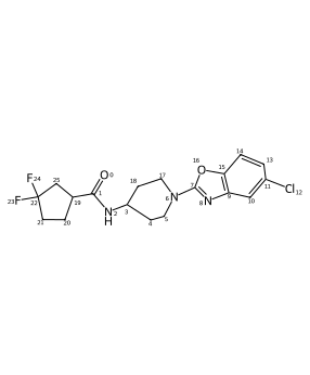 O=C(NC1CCN(c2nc3cc(Cl)ccc3o2)CC1)C1CCC(F)(F)C1